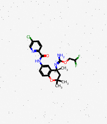 CC1(C)C[C@@](C)(/N=C(/N)OCC(F)F)c2cc(NC(=O)c3ccc(Cl)cn3)ccc2O1